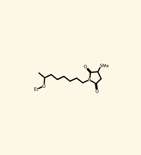 CCOC(C)CCCCCCN1C(=O)CC(SC)C1=O